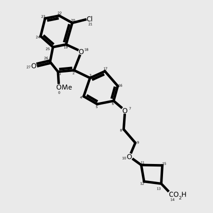 COc1c(-c2ccc(OCCOC3CC(C(=O)O)C3)cc2)oc2c(Cl)cccc2c1=O